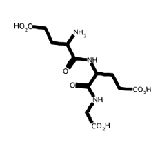 NC(CCC(=O)O)C(=O)NC(CCC(=O)O)C(=O)NCC(=O)O